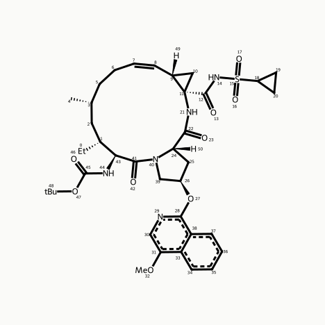 CC[C@@H]1C[C@H](C)CC/C=C\[C@@H]2C[C@@]2(C(=O)NS(=O)(=O)C2CC2)NC(=O)[C@@H]2C[C@@H](Oc3ncc(OC)c4ccccc34)CN2C(=O)[C@H]1NC(=O)OC(C)(C)C